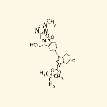 Cn1cnc(CN2C(CO)c3cc(-c4cn(C(=O)OC(C)(C)C)c5cc(F)ccc45)ccc3S2(=O)=O)n1